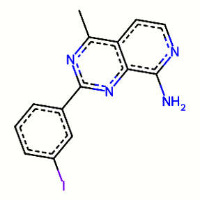 Cc1nc(-c2cccc(I)c2)nc2c(N)nccc12